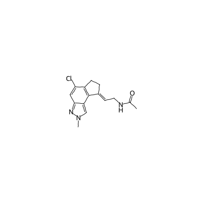 CC(=O)NC/C=C1\CCc2c(Cl)cc3nn(C)cc3c21